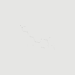 CO[C@@H]1OC[C@H]([C@H](O)COCCN)O[C@H]1I